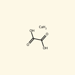 O=C(O)C(=O)O.[CaH2]